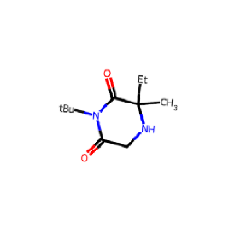 CCC1(C)NCC(=O)N(C(C)(C)C)C1=O